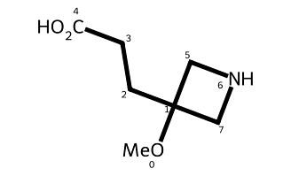 COC1(CCC(=O)O)CNC1